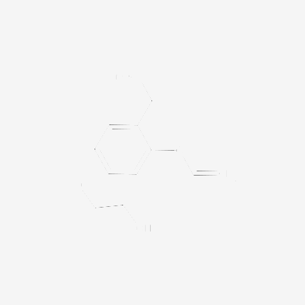 C=COc1ccccc1CCCCCCCCC.OCCO